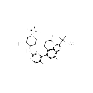 COC(C)(C)c1nc2c(F)cc(-c3nc(N[C@@H]4CCN(S(C)(=O)=O)C[C@H]4O)ncc3F)c3c2n1[C@H](C)CC3